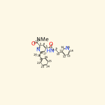 CNC(=O)c1cc(C(=O)NCCc2cccnc2)cc([C@@H](C)c2ccccc2)n1